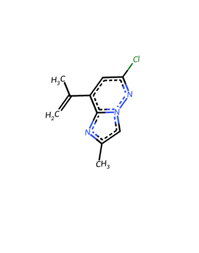 C=C(C)c1cc(Cl)nn2cc(C)nc12